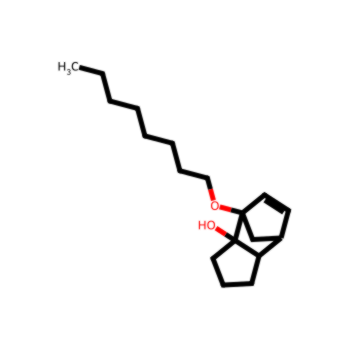 CCCCCCCCOC12C=CC(C1)C1CCCC12O